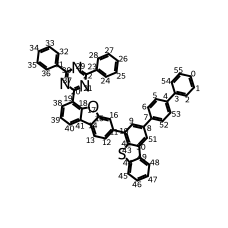 c1ccc(-c2ccc(-c3cc(-c4ccc5c(c4)oc4c(-c6nc(-c7ccccc7)nc(-c7ccccc7)n6)cccc45)c4sc5ccccc5c4c3)cc2)cc1